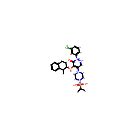 CC1c2ccccc2CCC1Oc1c(N2CCN(S(=O)(=O)C(C)C)CC2)cnn(-c2cccc(Cl)c2)c1=O